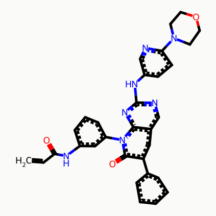 C=CC(=O)Nc1cccc(-n2c(=O)c(-c3ccccc3)cc3cnc(Nc4ccc(N5CCOCC5)nc4)nc32)c1